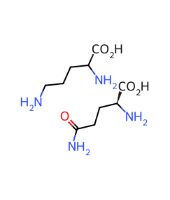 NC(=O)CC[C@H](N)C(=O)O.NCCCC(N)C(=O)O